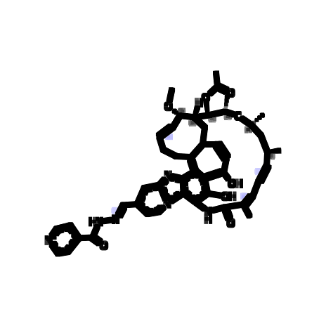 CO[C@H]1/C=C/CCC2=c3c4c(O)c(c5c3nc3cc(/C=N/NC(=O)c6ccncc6)ccn35)NC(=O)/C(C)=C\C=C\[C@H](C)C[C@@H](C)C[C@@H](C)[C@H](OC(C)=O)[C@@H]1CC2C#CC=4O